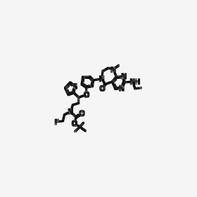 CCNc1ncc2c(n1)N(C)CCN(c1cccc(OC(CCN(CCF)C(=O)OC(C)(C)C)c3cccs3)c1)C2=O